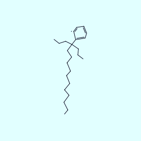 CCCCCCCCCCCC(CCC)(CCC)c1[c]cccc1